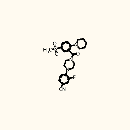 CS(=O)(=O)c1ccc(N2CCCCC2)c(C(=O)N2CCN(c3ccc(C#N)cc3F)CC2)c1